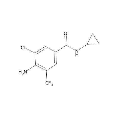 Nc1c(Cl)cc(C(=O)NC2CC2)cc1C(F)(F)F